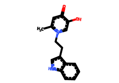 Cc1cc(=O)c(O)cn1CCc1c[nH]c2ccccc12